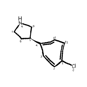 Clc1ccc([C@H]2CCNC2)cc1